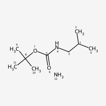 CC(C)CNC(=O)OC(C)(C)C.N